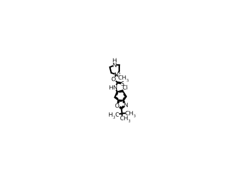 CC(C)(C)c1nc2cc(Cl)c(NC(=S)O[N+]3(C)CCNCC3)cc2o1